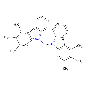 Cc1cc2c(c(C)c1C)c1ccccc1n2Cn1c2ccccc2c2c(C)c(C)c(C)cc21